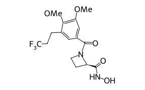 COc1cc(C(=O)N2CC[C@@H]2C(=O)NO)cc(CCC(F)(F)F)c1OC